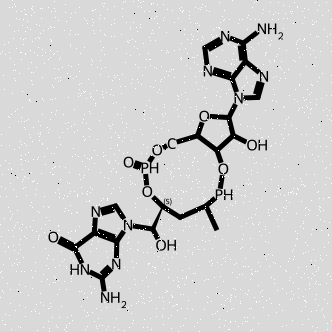 CC1C[C@@H](C(O)n2cnc3c(=O)[nH]c(N)nc32)O[PH](=O)OCC2OC(n3cnc4c(N)ncnc43)C(O)C2OP1